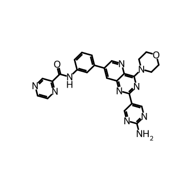 Nc1ncc(-c2nc(N3CCOCC3)c3ncc(-c4cccc(NC(=O)c5cnccn5)c4)cc3n2)cn1